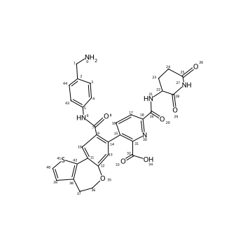 NCc1ccc(NC(=O)c2cc3c(cc2-c2ccc(C(=O)NC4CCC(=O)NC4=O)nc2C(=O)O)OCCc2ccsc2-3)cc1